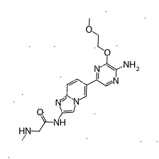 CNCC(=O)Nc1cn2cc(-c3cnc(N)c(OCCOC)n3)ccc2n1